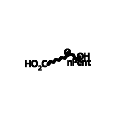 CCCCCC(O)CCC1OC1CCCCCC=CC(=O)O